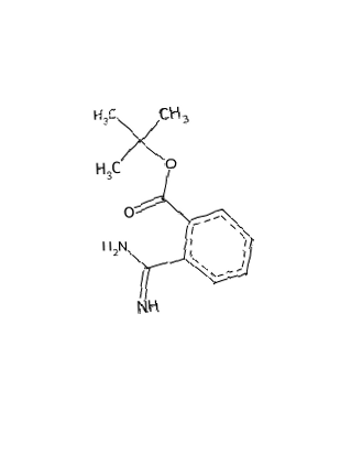 CC(C)(C)OC(=O)c1ccccc1C(=N)N